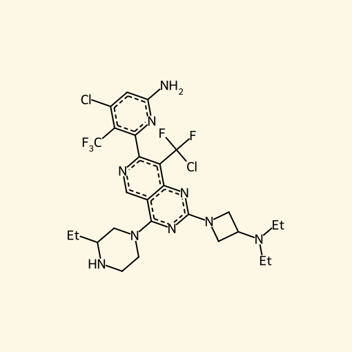 CCC1CN(c2nc(N3CC(N(CC)CC)C3)nc3c(C(F)(F)Cl)c(-c4nc(N)cc(Cl)c4C(F)(F)F)ncc23)CCN1